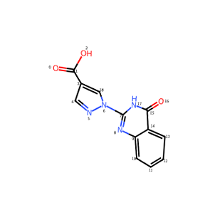 O=C(O)c1cnn(-c2nc3ccccc3c(=O)[nH]2)c1